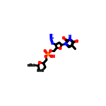 CCCCCCCCC(C)OC(COP(=O)(O)OCC1OC(n2cc(C)c(=O)[nH]c2=O)CC1N=[N+]=[N-])CSC